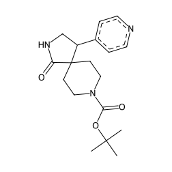 CC(C)(C)OC(=O)N1CCC2(CC1)C(=O)NCC2c1ccncc1